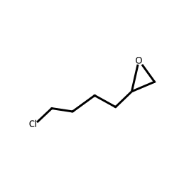 ClCCCCC1CO1